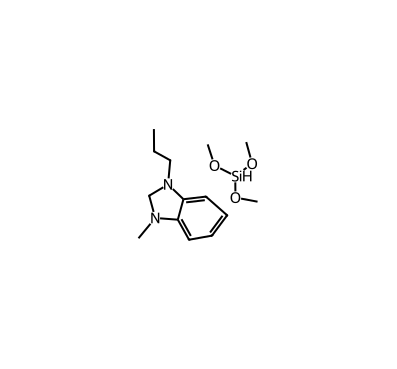 CCCN1CN(C)c2ccccc21.CO[SiH](OC)OC